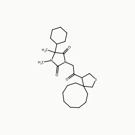 CN1C(=O)N(CC(=O)C2CSCC23CCCCCCCC3)C(=O)C1(C)C1CCCCC1